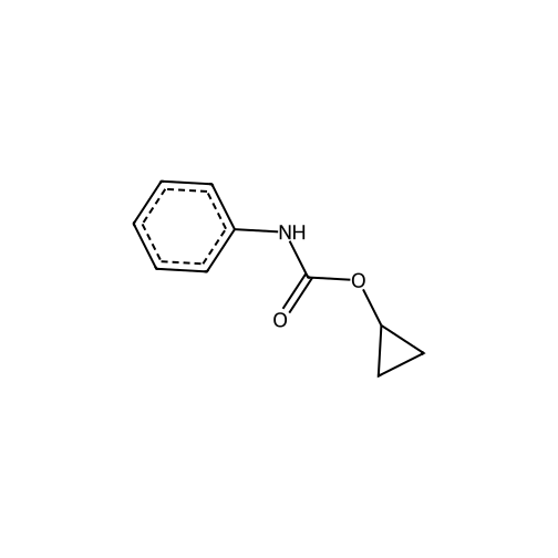 O=C(Nc1ccccc1)OC1CC1